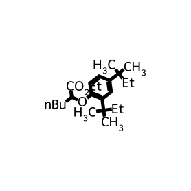 CCCCC(Oc1ccc(C(C)(C)CC)cc1C(C)(C)CC)C(=O)OCC